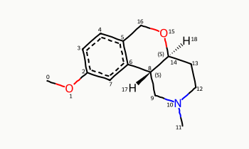 COc1ccc2c(c1)[C@H]1CN(C)CC[C@@H]1OC2